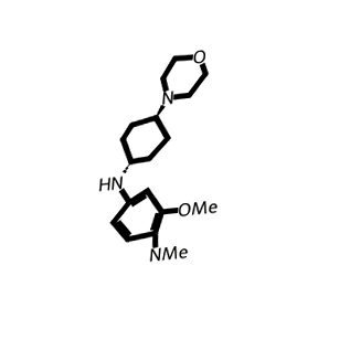 CNc1ccc(N[C@H]2CC[C@H](N3CCOCC3)CC2)cc1OC